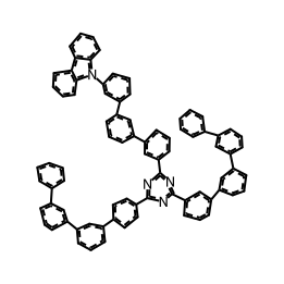 c1ccc(-c2cccc(-c3cccc(-c4ccc(-c5nc(-c6cccc(-c7cccc(-c8cccc(-c9ccccc9)c8)c7)c6)nc(-c6cccc(-c7cccc(-c8cccc(-n9c%10ccccc%10c%10ccccc%109)c8)c7)c6)n5)cc4)c3)c2)cc1